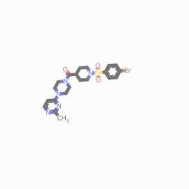 Cc1nccc(N2CCN(C(=O)C3CCN(S(=O)(=O)c4ccc(Br)cc4)CC3)CC2)n1